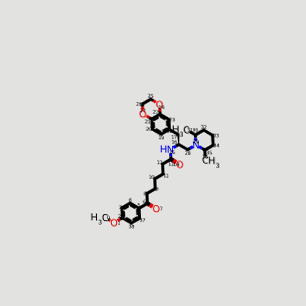 COc1ccc(C(=O)CCCCCC(=O)N[C@@H](Cc2ccc3c(c2)OCCO3)CN2C(C)CCCC2C)cc1